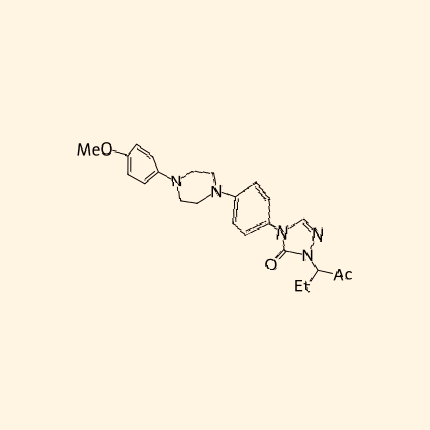 CCC(C(C)=O)n1ncn(-c2ccc(N3CCN(c4ccc(OC)cc4)CC3)cc2)c1=O